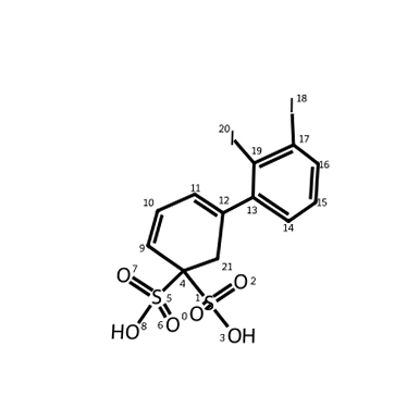 O=S(=O)(O)C1(S(=O)(=O)O)C=CC=C(c2cccc(I)c2I)C1